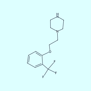 FC(F)(F)c1ccccc1OCCN1CCNCC1